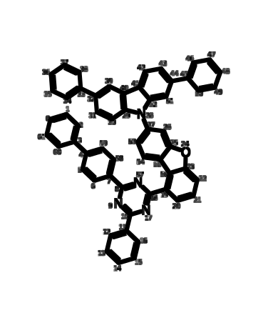 c1ccc(-c2ccc(-c3nc(-c4ccccc4)nc(-c4cccc5oc6cc(-n7c8ccc(-c9ccccc9)cc8c8ccc(-c9ccccc9)cc87)ccc6c45)n3)cc2)cc1